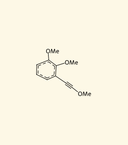 COC#Cc1cccc(OC)c1OC